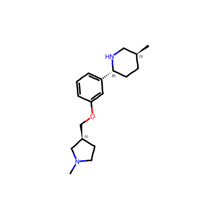 C[C@H]1CC[C@H](c2cccc(OC[C@H]3CCN(C)C3)c2)NC1